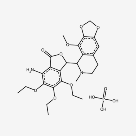 CCOc1c(N)c2c(c(OCC)c1OCC)C(C1c3c(cc4c(c3OC)OCO4)CCN1C)OC2=O.O=P(O)(O)O